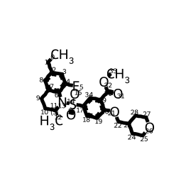 CCc1cc(F)c2c(c1)CC[C@H](C)N2S(=O)(=O)c1ccc(OCC2CCOCC2)c(C(=O)OC)c1